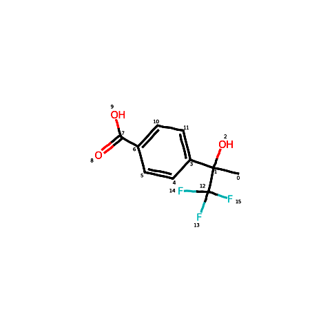 CC(O)(c1ccc(C(=O)O)cc1)C(F)(F)F